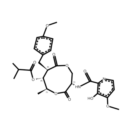 COc1ccc(C[C@H]2C(=O)OC[C@H](NC(=O)c3nccc(OC)c3O)C(=O)O[C@@H](C)[C@@H]2OC(=O)C(C)C)cc1